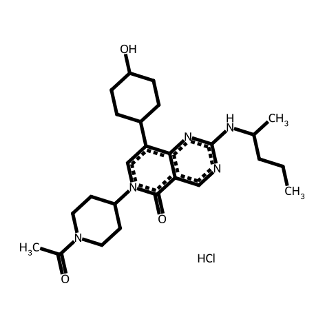 CCCC(C)Nc1ncc2c(=O)n(C3CCN(C(C)=O)CC3)cc(C3CCC(O)CC3)c2n1.Cl